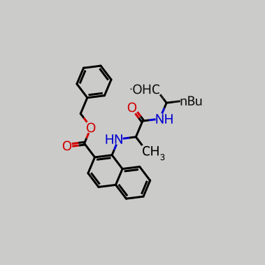 CCCCC([C]=O)NC(=O)C(C)Nc1c(C(=O)OCc2ccccc2)ccc2ccccc12